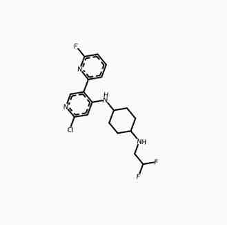 Fc1cccc(-c2cnc(Cl)cc2NC2CCC(NCC(F)F)CC2)n1